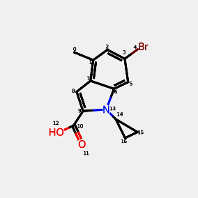 Cc1cc(Br)cc2c1cc(C(=O)O)n2C1CC1